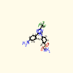 Nc1ccc(-c2nc(C(F)(F)F)nn2-c2ccc(S(N)(=O)=O)cc2)cc1